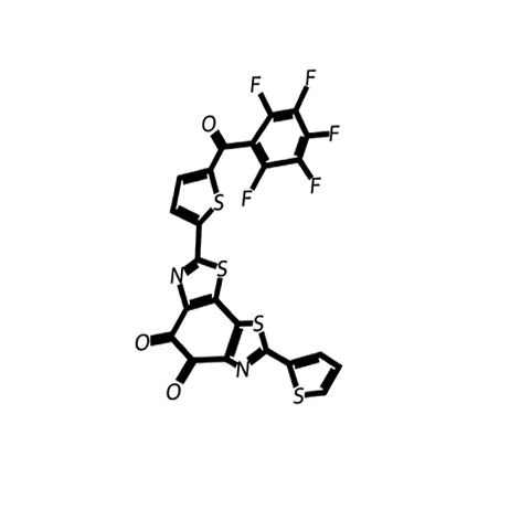 O=C1C(=O)c2nc(-c3ccc(C(=O)c4c(F)c(F)c(F)c(F)c4F)s3)sc2-c2sc(-c3cccs3)nc21